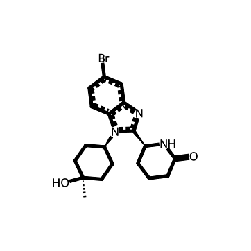 C[C@]1(O)CC[C@@H](n2c([C@@H]3CCCC(=O)N3)nc3cc(Br)ccc32)CC1